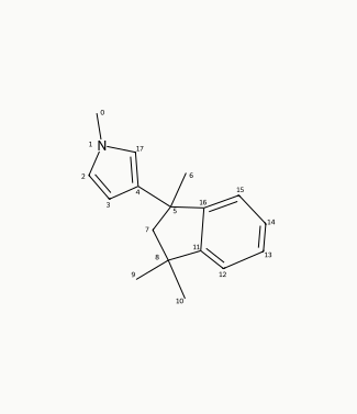 Cn1ccc(C2(C)CC(C)(C)c3ccccc32)c1